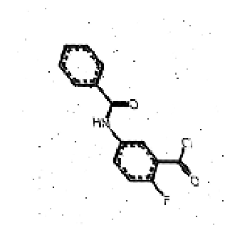 O=C(Nc1ccc(F)c(C(=O)Cl)c1)c1ccccc1